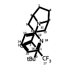 CC(C)(C)OC(=O)N1CC2CCC(C1)N2c1cccc(C(F)(F)F)n1